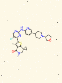 Cc1c(-c2nc(Nc3ccc(C4CCN(C5CCOC5)CC4)cn3)ncc2F)sc2c1C(=O)N(C)CC21CC1